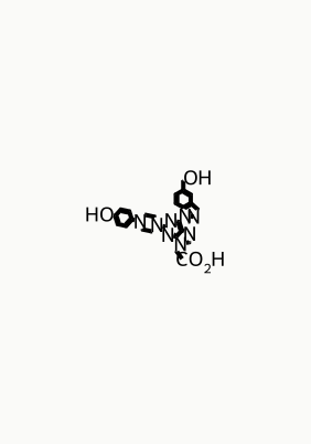 O=C(O)Cn1cnc2c(-n3ncc4cc(CO)ccc43)nc(N3CCN(c4ccc(O)cc4)CC3)nc21